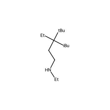 CCNCCC(CC)(C(C)CC)C(C)(C)C